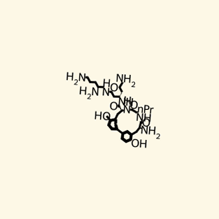 CCC[C@@H]1NC(=O)[C@@H](N)Cc2cc(ccc2O)-c2ccc(O)c(c2)C[C@@H](C(=O)N[C@@H](CCCN)CC(=O)NC[C@@H](N)CCCN)NC1=O